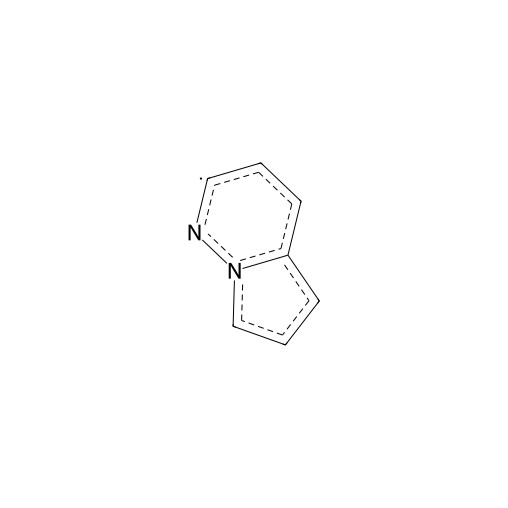 [c]1ccc2cccn2n1